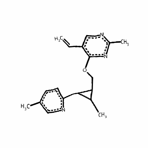 C=Cc1cnc(C)nc1OCC1C(C)C1c1ccc(C)cn1